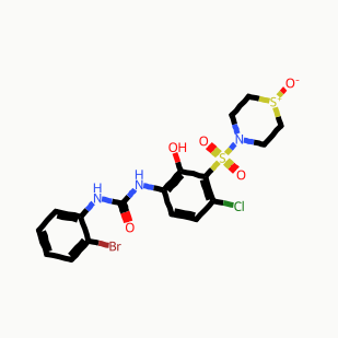 O=C(Nc1ccccc1Br)Nc1ccc(Cl)c(S(=O)(=O)N2CC[S+]([O-])CC2)c1O